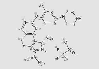 CC(=O)c1cc(N2CCNCC2)ccc1Oc1ncc2c(n1)-c1c(c(C(N)=O)nn1C)CC2.O=C(O)C(F)(F)F